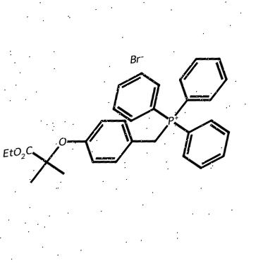 CCOC(=O)C(C)(C)Oc1ccc(C[P+](c2ccccc2)(c2ccccc2)c2ccccc2)cc1.[Br-]